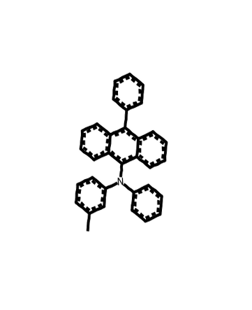 Cc1cccc(N(c2ccccc2)c2c3ccccc3c(-c3ccccc3)c3ccccc23)c1